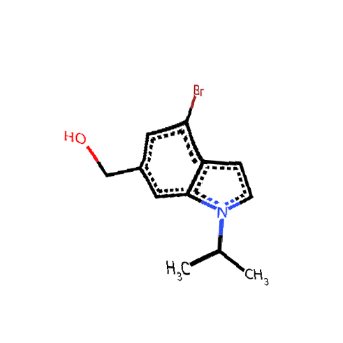 CC(C)n1ccc2c(Br)cc(CO)cc21